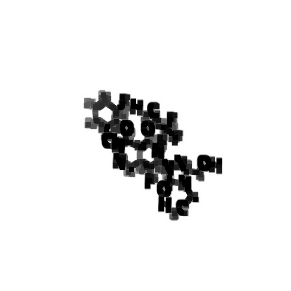 CCn1c(CO)nn(-c2nc(O[C@@H](C)C(F)(F)F)c3c(Oc4c(F)cccc4Cl)nncc3c2F)c1=O